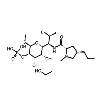 CCC[C@@H]1C[C@@H](C(=O)N[C@@H]([C@H]2O[C@H](SC)[C@H](OP(=O)(O)O)[C@@H](O)[C@H]2O)[C@H](C)Cl)N(C)C1.CCO